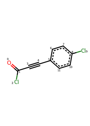 O=C(Cl)C#Cc1ccc(Cl)cc1